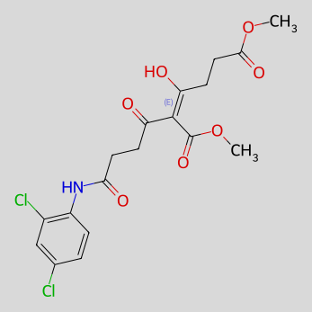 COC(=O)CC/C(O)=C(/C(=O)CCC(=O)Nc1ccc(Cl)cc1Cl)C(=O)OC